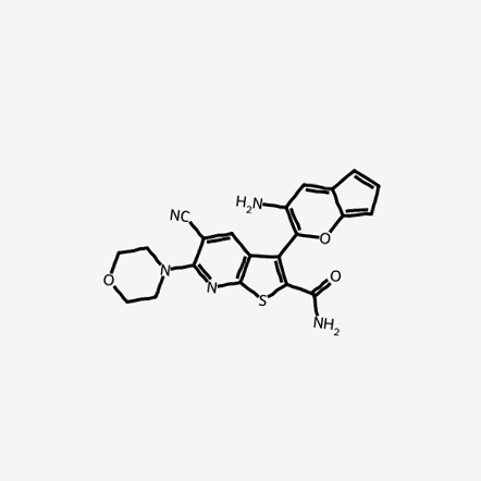 N#Cc1cc2c(-c3oc4cccc-4cc3N)c(C(N)=O)sc2nc1N1CCOCC1